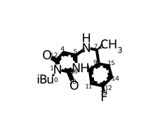 CC[C@H](C)n1c(=O)cc(N[C@@H](C)c2ccc(F)cc2)[nH]c1=O